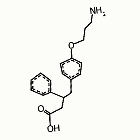 NCCCOc1ccc(CC(CC(=O)O)c2ccccc2)cc1